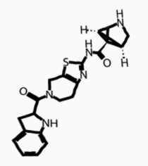 O=C(C1Cc2ccccc2N1)N1CCc2nc(NC(=O)[C@@]34C5NC[C@@H]3[C@H]54)sc2C1